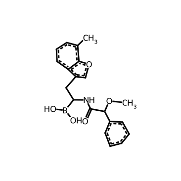 COC(C(=O)NC(Cc1coc2c(C)cccc12)B(O)O)c1ccccc1